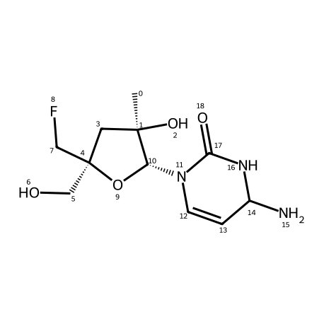 C[C@@]1(O)C[C@](CO)(CF)O[C@H]1N1C=CC(N)NC1=O